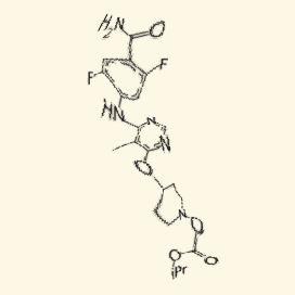 Cc1c(Nc2cc(F)c(C(N)=O)cc2F)ncnc1OC1CCN(OC(=O)OC(C)C)CC1